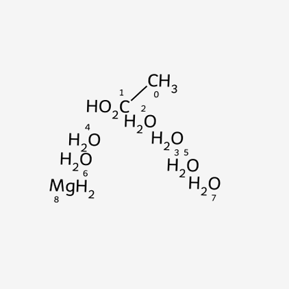 CC(=O)O.O.O.O.O.O.O.[MgH2]